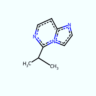 CC(C)c1nccc2nccn12